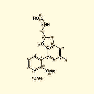 COc1cccc(-c2cc(C)cc3c2OC(CNC(=O)O)C3)c1OC